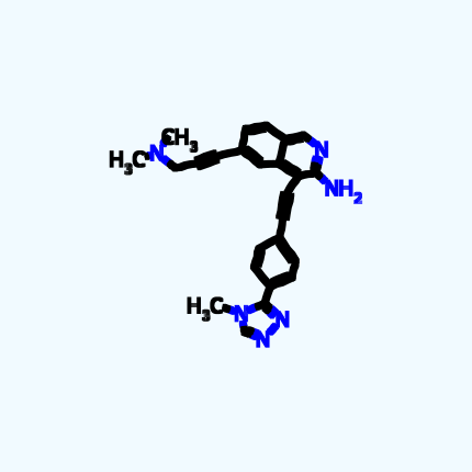 CN(C)CC#Cc1ccc2cnc(N)c(C#Cc3ccc(-c4nncn4C)cc3)c2c1